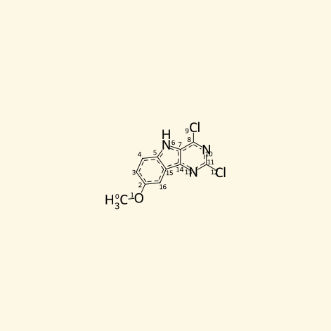 COc1ccc2[nH]c3c(Cl)nc(Cl)nc3c2c1